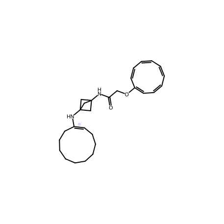 O=C(COc1ccccccccc1)NC12CC(N/C3=C/CCCCCCCCC3)(C1)C2